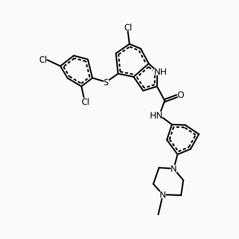 CN1CCN(c2cccc(NC(=O)c3cc4c(Sc5ccc(Cl)cc5Cl)cc(Cl)cc4[nH]3)c2)CC1